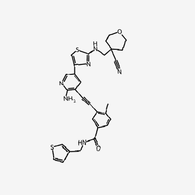 Cc1ccc(C(=O)NCc2ccsc2)cc1C#Cc1cc(-c2csc(NCC3(C#N)CCOCC3)n2)cnc1N